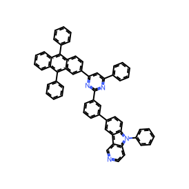 c1ccc(-c2cc(-c3ccc4c(-c5ccccc5)c5ccccc5c(-c5ccccc5)c4c3)nc(-c3cccc(-c4ccc5c(c4)c4cnccc4n5-c4ccccc4)c3)n2)cc1